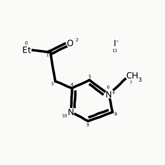 CCC(=O)Cc1c[n+](C)ccn1.[I-]